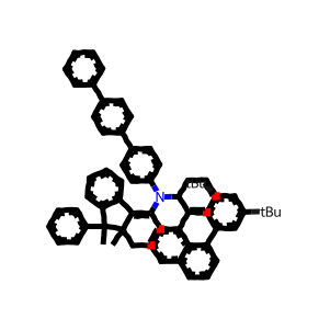 CC(C)(C)c1cc(-c2cccc3cccc(C4=CC=CCC4N(C4=C5c6ccccc6C(C)(c6ccccc6)C5(C)CC=C4)c4ccc(-c5ccc(-c6ccccc6)cc5)cc4)c23)cc(C(C)(C)C)c1